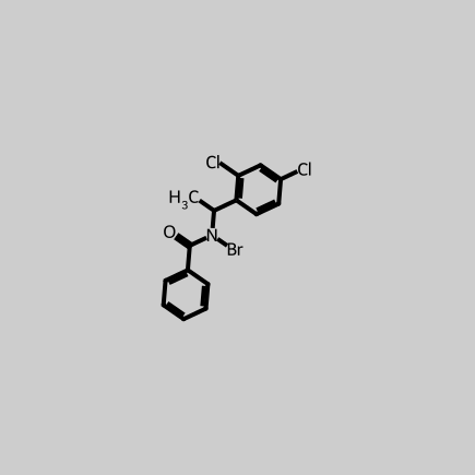 CC(c1ccc(Cl)cc1Cl)N(Br)C(=O)c1ccccc1